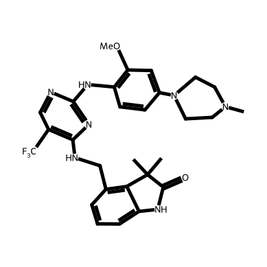 COc1cc(N2CCN(C)CC2)ccc1Nc1ncc(C(F)(F)F)c(NCc2cccc3c2C(C)(C)C(=O)N3)n1